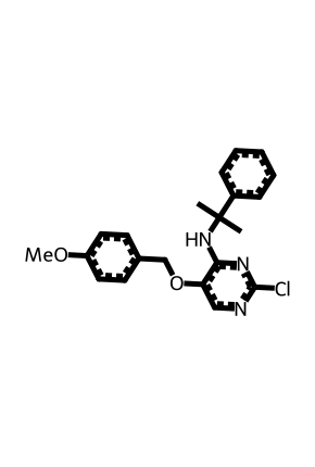 COc1ccc(COc2cnc(Cl)nc2NC(C)(C)c2ccccc2)cc1